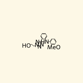 COc1ccccc1Nc1ccccc1-c1nnn(CCO)n1